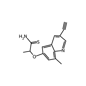 C#Cc1cnc2c(C)cc(OC(C)C(N)=S)cc2c1